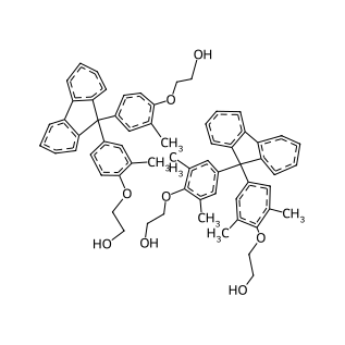 Cc1cc(C2(c3cc(C)c(OCCO)c(C)c3)c3ccccc3-c3ccccc32)cc(C)c1OCCO.Cc1cc(C2(c3ccc(OCCO)c(C)c3)c3ccccc3-c3ccccc32)ccc1OCCO